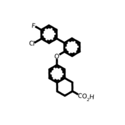 O=C(O)C1CCc2ccc(Oc3ccccc3-c3ccc(F)c(Cl)c3)cc2C1